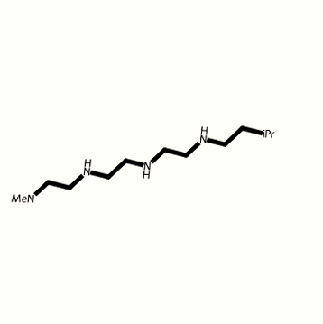 CNCCNCCNCCNCCC(C)C